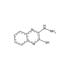 NNc1nc2ccccc2nc1S